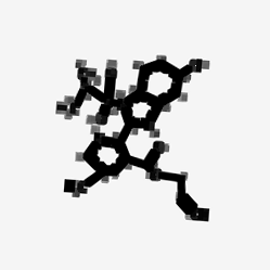 C#CCOC(=O)c1cc(C)cnc1-c1nc2cc(Cl)ccc2n1S(=O)(=O)N(C)C